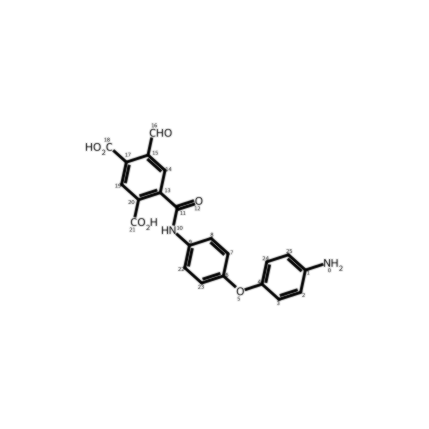 Nc1ccc(Oc2ccc(NC(=O)c3cc(C=O)c(C(=O)O)cc3C(=O)O)cc2)cc1